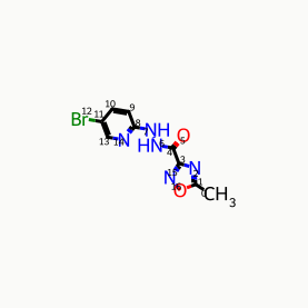 Cc1nc(C(=O)NNc2ccc(Br)cn2)no1